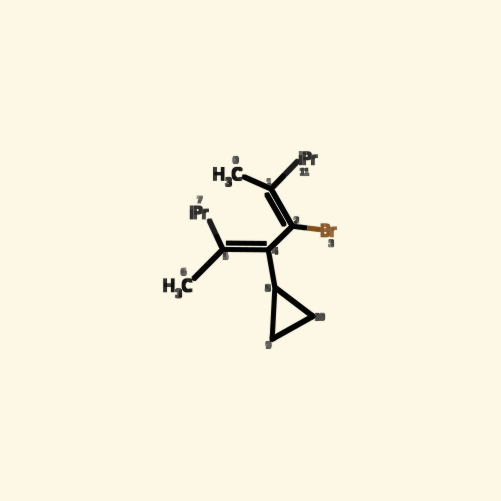 C/C(=C(Br)\C(=C(\C)C(C)C)C1CC1)C(C)C